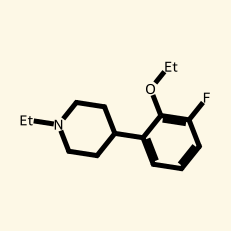 CCOc1c(F)cccc1C1CCN(CC)CC1